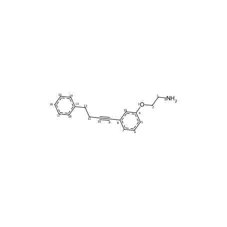 NCCOc1cccc(C#CCCc2ccccc2)c1